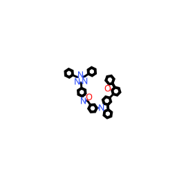 c1ccc(-c2nc(-c3ccccc3)nc(-c3ccc4nc(-c5cccc(-n6c7ccccc7c7cc(-c8cccc9c8oc8ccccc89)ccc76)c5)oc4c3)n2)cc1